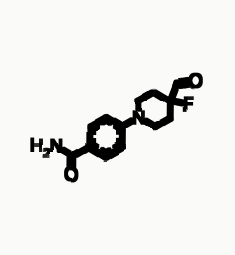 NC(=O)c1ccc(N2CCC(F)(C=O)CC2)cc1